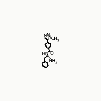 Cn1nncc1-c1ccc(C(=O)N[C@H](CN)Cc2ccccc2)cc1